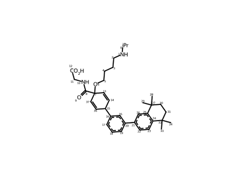 CC(C)NCCCCOC1(C(=O)NCC(=O)O)C=CC(c2cccc(-c3ccc4c(c3)C(C)(C)CCC4(C)C)c2)C=C1